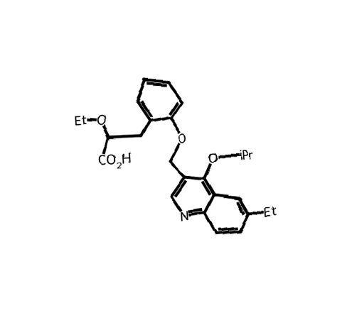 CCOC(Cc1ccccc1OCc1cnc2ccc(CC)cc2c1OC(C)C)C(=O)O